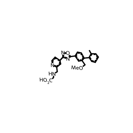 COCc1cc(-c2nc(-c3ccnc(CNCC(=O)O)c3)no2)ccc1-c1ccccc1C